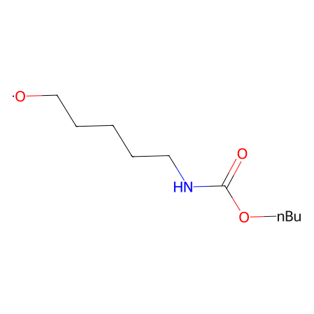 CCCCOC(=O)NCCCCC[O]